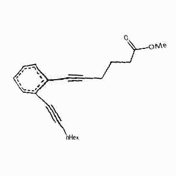 CCCCCCC#Cc1ccccc1C#CCCCC(=O)OC